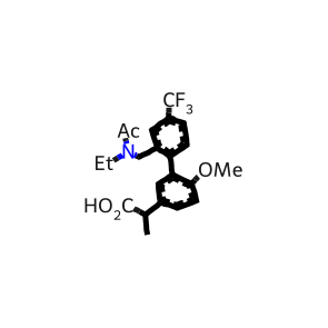 CCN(Cc1cc(C(F)(F)F)ccc1-c1cc(C(C)C(=O)O)ccc1OC)C(C)=O